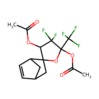 CC(=O)OC1C2(CC3C=CC2C3)OC(OC(C)=O)(C(F)(F)F)C1(F)F